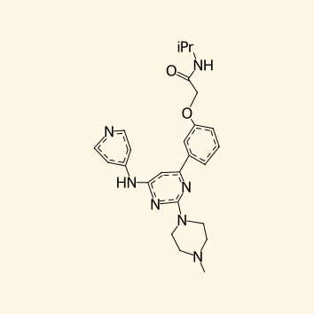 CC(C)NC(=O)COc1cccc(-c2cc(Nc3ccncc3)nc(N3CCN(C)CC3)n2)c1